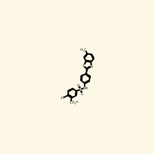 Cc1ccc2nc(-c3ccc(NS(=O)(=O)c4ccc(Cl)c(C(=O)O)c4)cc3)sc2c1